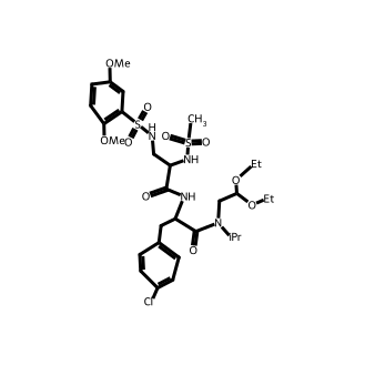 CCOC(CN(C(=O)C(Cc1ccc(Cl)cc1)NC(=O)C(CNS(=O)(=O)c1cc(OC)ccc1OC)NS(C)(=O)=O)C(C)C)OCC